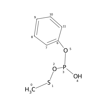 CSOP(O)Oc1ccccc1